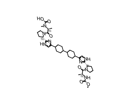 COC(=O)N[C@@H](C)C(=O)N1CCC[C@H]1c1nc(C2CCC(C3CCC(c4c[nH]c([C@@H]5CCCN5C(=O)[C@H](C)N(C)C(=O)O)n4)CC3)CC2)c[nH]1